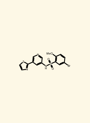 COc1ccc(Br)cc1S(=O)(=O)Nc1cncc(-c2nccs2)c1